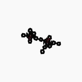 c1ccc(-c2ccc3c(c2)c2ccc4c5cc(-c6ccccc6)ccc5n(-c5nc(-c6ccccc6)cc(-c6ccc(-c7ccc8c(c7)c7ccc9c%10ccccc%10n(-c%10nc(-c%11ccccc%11)cc(-c%11ccccc%11)n%10)c9c7n8-c7ccccn7)cc6)n5)c4c2n3-c2ccccc2)cc1